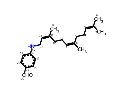 CC(C)=CCCC(C)=CCCC(C)=CCNc1ccc(C=O)cc1